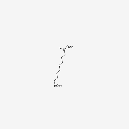 CCCCCCCCCCCCCCCCN(C)OC(C)=O